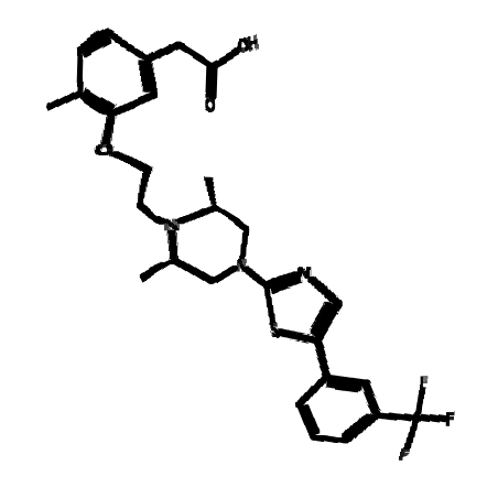 Cc1ccc(CC(=O)O)cc1OCCN1[C@H](C)CN(c2ncc(-c3cccc(C(F)(F)F)c3)s2)C[C@@H]1C